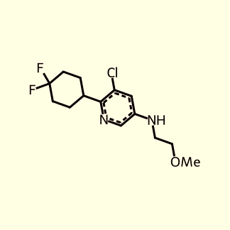 COCCNc1cnc(C2CCC(F)(F)CC2)c(Cl)c1